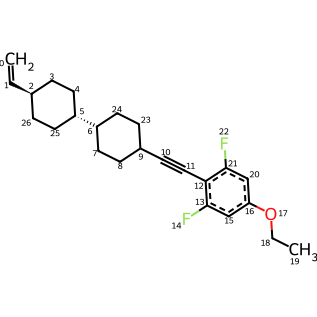 C=C[C@H]1CC[C@H](C2CCC(C#Cc3c(F)cc(OCC)cc3F)CC2)CC1